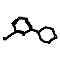 CCc1cncc(N2CCOCC2)n1